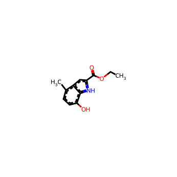 CCOC(=O)c1cc2c(C)ccc(O)c2[nH]1